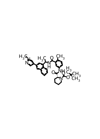 Cc1ccc(NC(=O)[C@H]2CCCCN2C(=O)OC(C)(C)C)cc1C(=O)NC(C)c1cc(-c2cnn(C)c2)cc2ccccc12